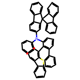 c1ccc(-c2cccc(N(c3ccccc3)c3ccc4c(c3)C3(c5ccccc5-c5ccccc53)c3ccccc3-4)c2-c2cccc3c2sc2ccccc23)cc1